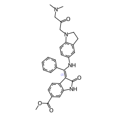 COC(=O)c1ccc2c(c1)NC(=O)/C2=C(\Nc1ccc2c(c1)CCN2CC(=O)CN(C)C)c1ccccc1